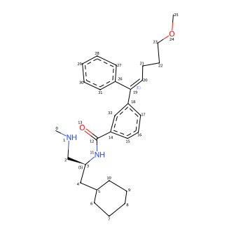 CNC[C@H](CC1CCCCC1)NC(=O)c1cccc(/C(=C/CCCOC)c2ccccc2)c1